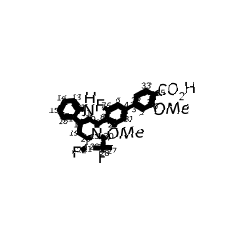 COc1cc(-c2cc(F)c(C3c4[nH]c5ccccc5c4C[C@@H](CF)N3CC(C)(C)F)c(OC)c2)ccc1C(=O)O